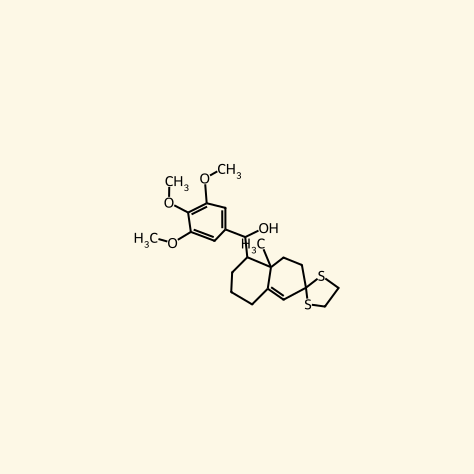 COc1cc(C(O)C2CCCC3=CC4(CCC32C)SCCS4)cc(OC)c1OC